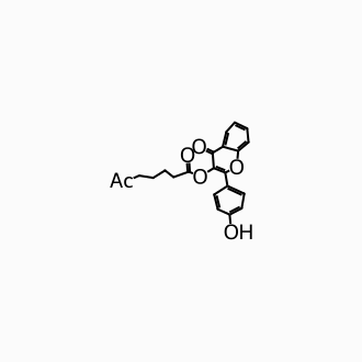 CC(=O)CCCCC(=O)Oc1c(-c2ccc(O)cc2)oc2ccccc2c1=O